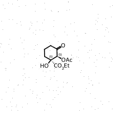 CCOC(=O)[C@]1(O)CCCC(=O)[C@H]1OC(C)=O